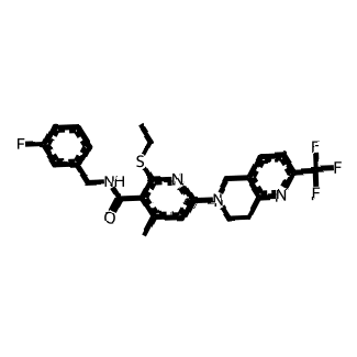 CCSc1nc(N2CCc3nc(C(F)(F)F)ccc3C2)cc(C)c1C(=O)NCc1cccc(F)c1